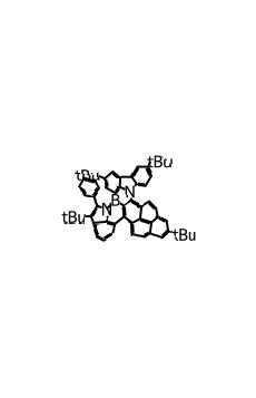 CC(C)(C)c1cc2ccc3c4c5c(c6ccc(c1)c2c36)-n1c2ccc(C(C)(C)C)cc2c2cc(C(C)(C)C)cc(c21)B5n1c(-c2ccccc2)c(C(C)(C)C)c2cccc-4c21